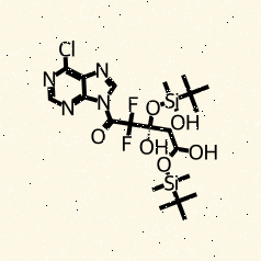 CC(C)(C)[Si](C)(C)OC(O)[C@@H](O)[C@](O)(O[Si](C)(C)C(C)(C)C)C(F)(F)C(=O)n1cnc2c(Cl)ncnc21